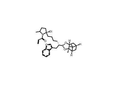 C=CC(=O)N1C(C)CC[C@]1(CC)CCCC[C@@H](Cc1coc2ccccc12)B1O[C@@H]2C[C@@H]3C[C@@H](C3(C)C)[C@]2(C)O1